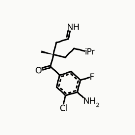 CC(C)CC[C@@](C)(CC=N)C(=O)c1cc(F)c(N)c(Cl)c1